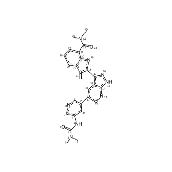 CN(C)C(=O)Nc1cncc(-c2cnc3[nH]nc(-c4nc5c(C(=O)N(C)C)cccc5[nH]4)c3c2)c1